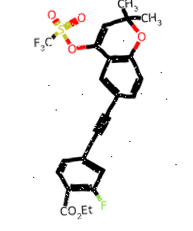 CCOC(=O)c1ccc(C#Cc2ccc3c(c2)C(OS(=O)(=O)C(F)(F)F)=CC(C)(C)O3)cc1F